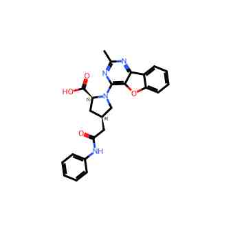 Cc1nc(N2C[C@@H](CC(=O)Nc3ccccc3)C[C@H]2C(=O)O)c2oc3ccccc3c2n1